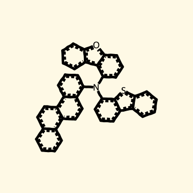 c1ccc2c(c1)ccc1c3cccc(N(c4cccc5c4sc4ccccc45)c4cccc5oc6ccccc6c45)c3ccc21